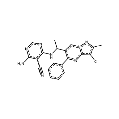 Cc1nn2cc(C(C)Nc3ncnc(N)c3C#N)c(-c3ccccc3)nc2c1Cl